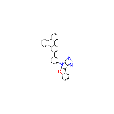 c1cc(-c2ccc3c4ccccc4c4ccccc4c3c2)cc(-n2c3cncnc3c3c4ccccc4oc32)c1